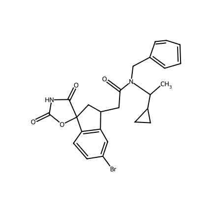 CC(C1CC1)N(Cc1ccccc1)C(=O)CC1CC2(OC(=O)NC2=O)c2ccc(Br)cc21